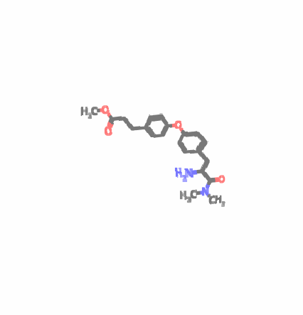 COC(=O)CCc1ccc(Oc2ccc(CC(N)C(=O)N(C)C)cc2)cc1